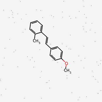 COc1ccc(C=Cc2ccccc2C)cc1